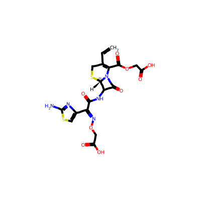 C=CC1=C(C(=O)OCC(=O)O)N2C(=O)C(NC(=O)C(=NOCC(=O)O)c3csc(N)n3)[C@@H]2SC1